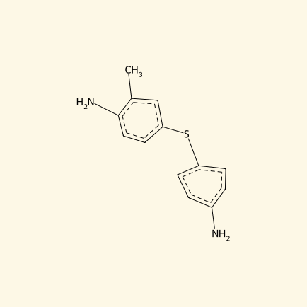 Cc1cc(Sc2ccc(N)cc2)ccc1N